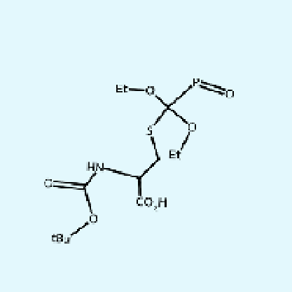 CCOC(OCC)(P=O)SCC(NC(=O)OC(C)(C)C)C(=O)O